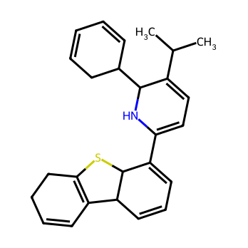 CC(C)C1=CC=C(C2=CC=CC3C4=C(CCC=C4)SC23)NC1C1C=CC=CC1